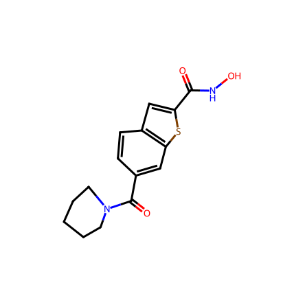 O=C(NO)c1cc2ccc(C(=O)N3CCCCC3)cc2s1